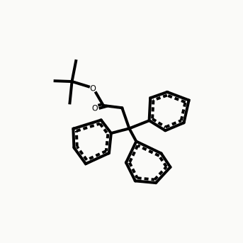 CC(C)(C)OC(=O)CC(c1ccccc1)(c1ccccc1)c1ccccc1